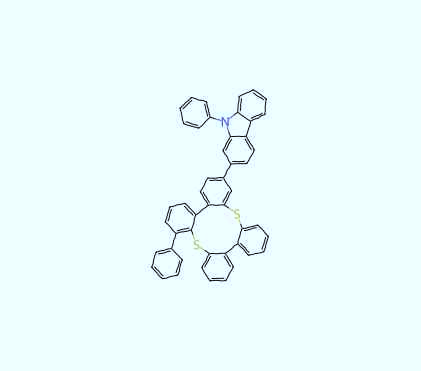 c1ccc(-c2cccc3c2Sc2ccccc2-c2ccccc2Sc2cc(-c4ccc5c6ccccc6n(-c6ccccc6)c5c4)ccc2-3)cc1